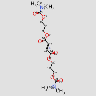 CN(C)C(=O)OCCCOC(=O)/C=C/C(=O)OCCCOC(=O)N(C)C